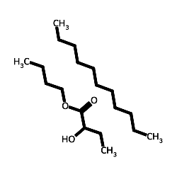 CCCCCCCCCCC.CCCCOC(=O)C(O)CC